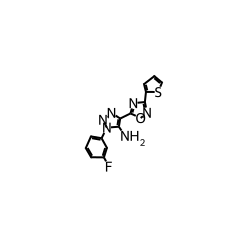 Nc1c(-c2nc(-c3cccs3)no2)nnn1-c1cccc(F)c1